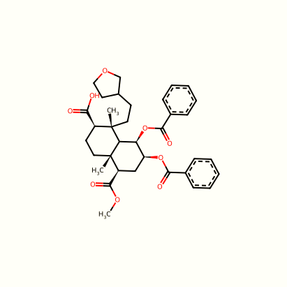 COC(=O)[C@@H]1C[C@H](OC(=O)c2ccccc2)[C@H](OC(=O)c2ccccc2)C2[C@@](C)(CCC3CCOC3)[C@H](C(=O)O)CC[C@]21C